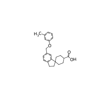 Cc1cccc(OCc2ccc3c(c2)C2(CC3)CCC(C(=O)O)CC2)c1